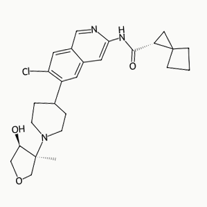 C[C@]1(N2CCC(c3cc4cc(NC(=O)[C@@H]5CC56CCC6)ncc4cc3Cl)CC2)COC[C@H]1O